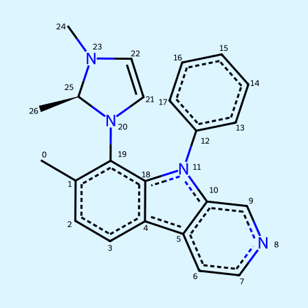 Cc1ccc2c3ccncc3n(-c3ccccc3)c2c1N1C=CN(C)[C@@H]1C